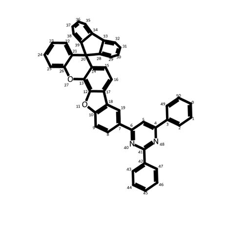 c1ccc(-c2cc(-c3ccc4oc5c6c(ccc5c4c3)C3(c4ccccc4O6)c4ccccc4-c4ccccc43)nc(-c3ccccc3)n2)cc1